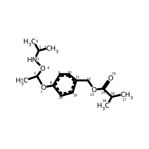 CC(C)NOC(C)Oc1ccc(COC(=O)C(C)C)cc1